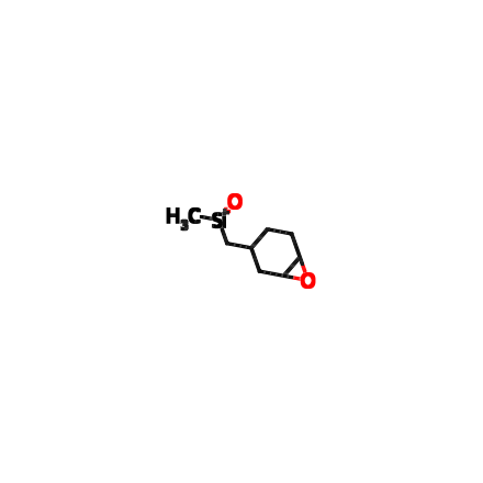 C[Si](=O)CC1CCC2OC2C1